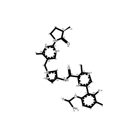 Cc1ccc(OC(F)P)c(-c2cnc(C)c(C(=O)Nc3cnn(Cc4cnc(N5CC[C@@H](C)C5=O)nc4C)c3)n2)c1F